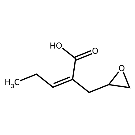 CCC=C(CC1CO1)C(=O)O